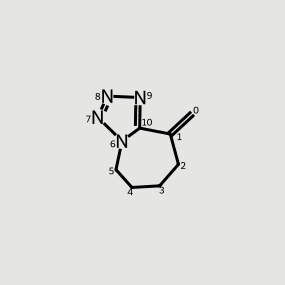 C=C1CCCCn2nnnc21